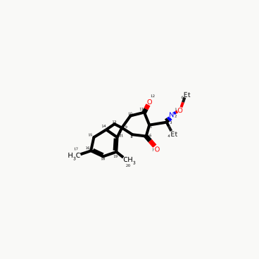 CCON=C(CC)C1C(=O)CC2(CC1=O)CC1CC(C)=CC(C)=C12